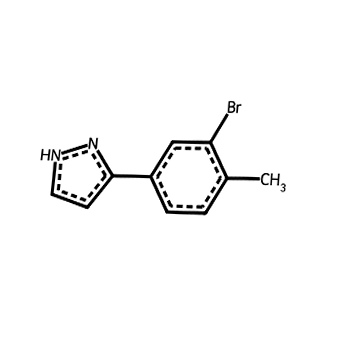 Cc1ccc(-c2cc[nH]n2)cc1Br